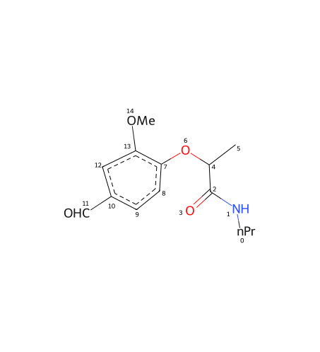 CCCNC(=O)C(C)Oc1ccc(C=O)cc1OC